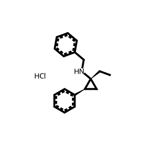 CC[C@@]1(NCc2ccccc2)C[C@H]1c1ccccc1.Cl